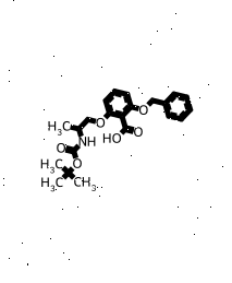 CC(COc1cccc(OCc2ccccc2)c1C(=O)O)NC(=O)OC(C)(C)C